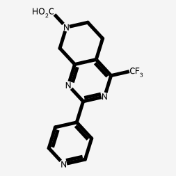 O=C(O)N1CCc2c(nc(-c3ccncc3)nc2C(F)(F)F)C1